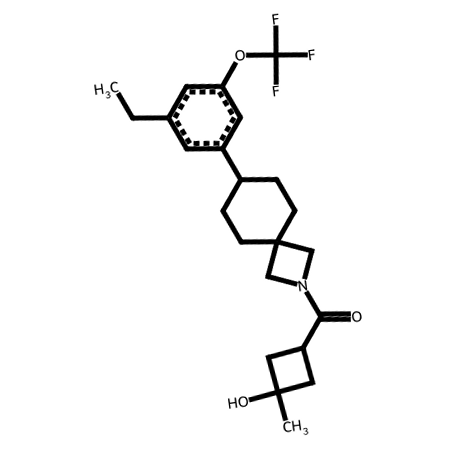 CCc1cc(OC(F)(F)F)cc(C2CCC3(CC2)CN(C(=O)C2CC(C)(O)C2)C3)c1